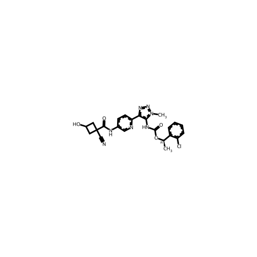 C[C@@H](OC(=O)Nc1c(-c2ccc(NC(=O)C3(C#N)CC(O)C3)cn2)nnn1C)c1ccccc1Cl